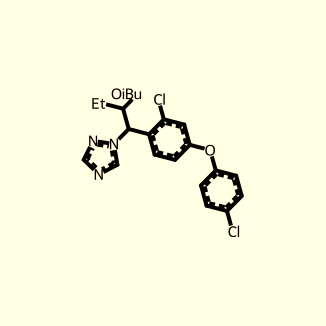 CCC(OCC(C)C)C(c1ccc(Oc2ccc(Cl)cc2)cc1Cl)n1cncn1